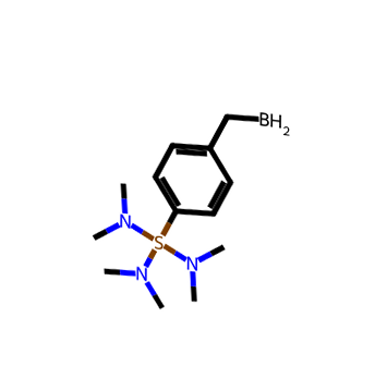 BCc1ccc(S(N(C)C)(N(C)C)N(C)C)cc1